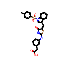 Cc1ccc(S(=O)(=O)n2cc(C=C3SC(Nc4cccc(CC(=O)O)c4)=NC3=O)c3ccccc32)cc1